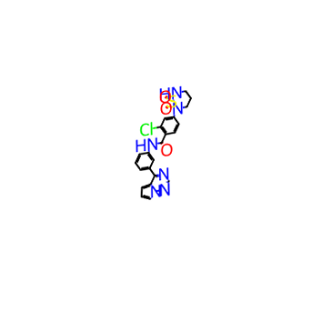 O=C(Nc1cccc(-c2ncnn3cccc23)c1)c1ccc(N2CCCNS2(=O)=O)cc1Cl